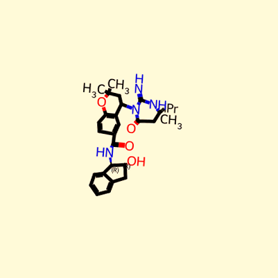 CC(C)C1(C)CC(=O)N(C2CC(C)(C)Oc3ccc(C(=O)N[C@@H]4c5ccccc5C[C@H]4O)cc32)C(=N)N1